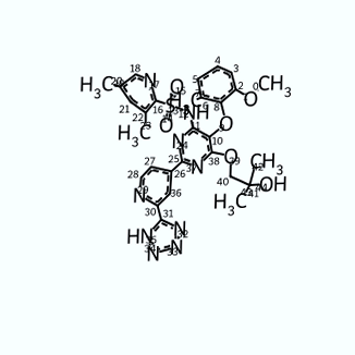 COc1cccc(C)c1Oc1c(NS(=O)(=O)c2ncc(C)cc2C)nc(-c2ccnc(-c3nnn[nH]3)c2)nc1OCC(C)(C)O